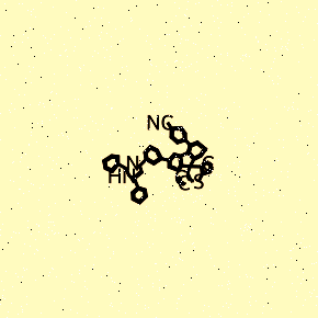 N#Cc1ccc(-c2cccc3c2-c2cc(-c4cccc(C5=NC(c6ccccc6)NC(c6ccccc6)=C5)c4)ccc2C32c3ccccc3Sc3ccccc32)cc1